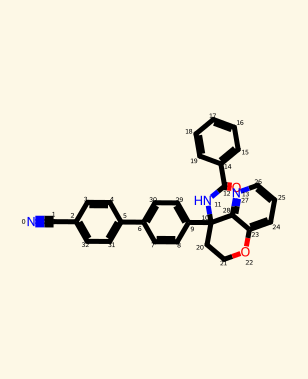 N#Cc1ccc(-c2ccc(C3(NC(=O)c4ccccc4)CCOc4cccnc43)cc2)cc1